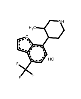 CC1CNCCC1c1ccc(C(F)(F)F)c2ccoc12.Cl